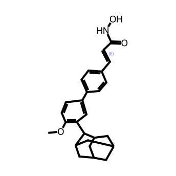 COc1ccc(-c2ccc(/C=C/C(=O)NO)cc2)cc1C1C2CC3CC(C2)CC1C3